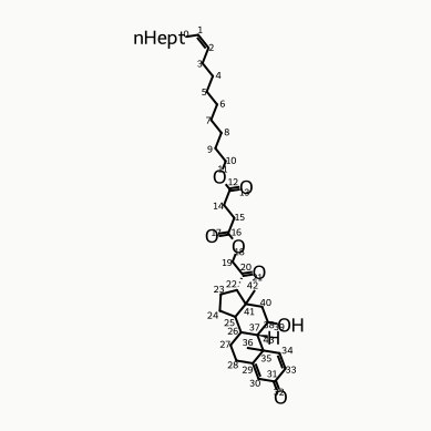 CCCCCCC/C=C\CCCCCCCCOC(=O)CCC(=O)OCC(=O)[C@H]1CCC2C3CCC4=CC(=O)C=CC4(C)[C@H]3C(O)CC21C